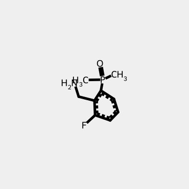 CP(C)(=O)c1cccc(F)c1CN